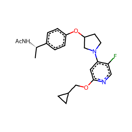 CC(=O)N[C@@H](C)c1ccc(OC2CCN(c3cc(OCC4CC4)ncc3F)C2)cc1